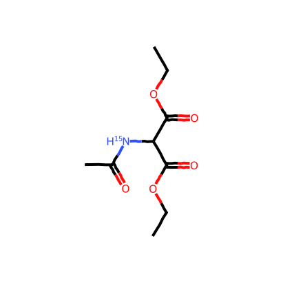 CCOC(=O)C([15NH]C(C)=O)C(=O)OCC